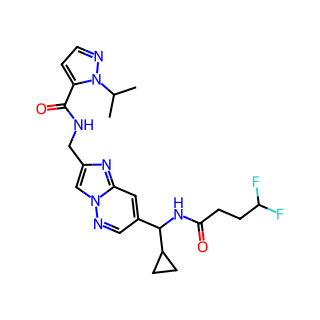 CC(C)n1nccc1C(=O)NCc1cn2ncc(C(NC(=O)CCC(F)F)C3CC3)cc2n1